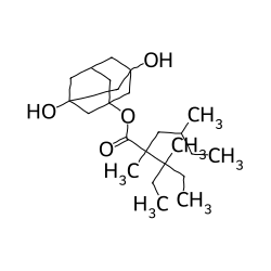 CCC(C)CC(C)(C(=O)OC12CC3CC(O)(CC(O)(C3)C1)C2)C(C)(CC)CC